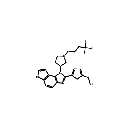 OCc1ccc(-c2nc3cnc4[nH]ccc4c3n2C2CCN(CCCC(F)(F)F)C2)o1